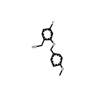 COc1ccc(COc2cc(F)ccc2CO)cc1